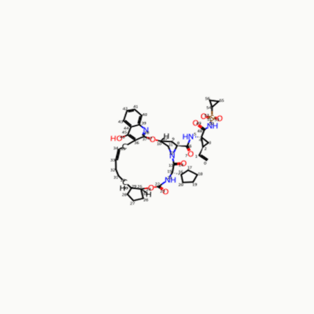 C=C[C@@H]1C[C@]1(NC(=O)[C@@H]1C[C@@H]2CN1C(=O)[C@H](C1CCCC1)NC(=O)O[C@@H]1CCC[C@H]1CCCC=CCc1c(nc3ccccc3c1O)O2)C(=O)NS(=O)(=O)C1CC1